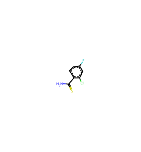 NC(=S)c1ccc(F)cc1Cl